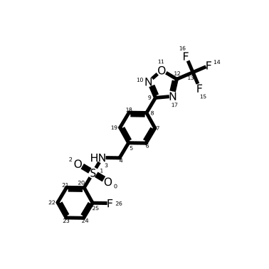 O=S(=O)(NCc1ccc(-c2noc(C(F)(F)F)n2)cc1)c1ccccc1F